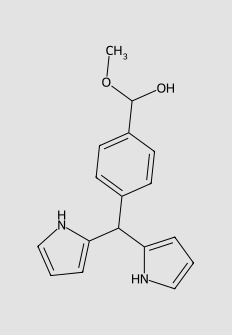 COC(O)c1ccc(C(c2ccc[nH]2)c2ccc[nH]2)cc1